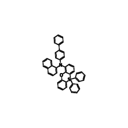 c1ccc(-c2ccc(N(c3cccc4c3Oc3ccccc3[Si]4(c3ccccc3)c3ccccc3)c3cccc4ccccc34)cc2)cc1